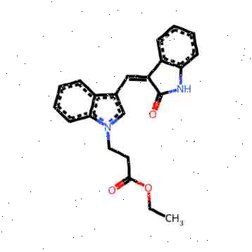 CCOC(=O)CCn1cc(/C=C2\C(=O)Nc3ccccc32)c2ccccc21